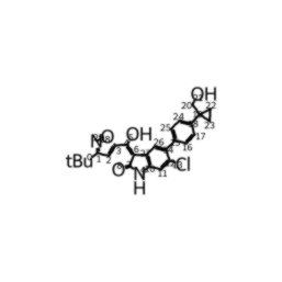 CC(C)(C)c1cc(C(O)=C2C(=O)Nc3cc(Cl)c(-c4ccc(C5(CO)CC5)cc4)cc32)on1